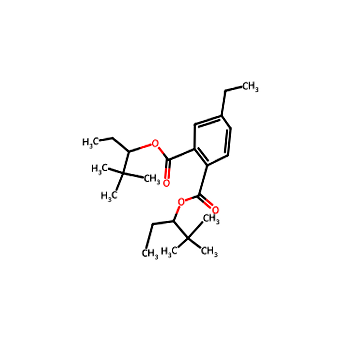 CCc1ccc(C(=O)OC(CC)C(C)(C)C)c(C(=O)OC(CC)C(C)(C)C)c1